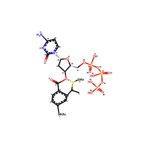 CSSC(C)c1cc(NC(C)=O)ccc1C(=O)OC1C[C@H](n2ccc(N)nc2=O)O[C@@H]1COP(=O)(O)OP(=O)(O)OP(=O)(O)O